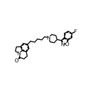 O=C1CCc2cc(CCCCCN3CCC(c4noc5cc(F)ccc45)CC3)cc3c2N1CC3